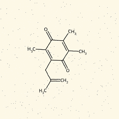 C=C(C)CC1=C(C)C(=O)C(C)=C(C)C1=O